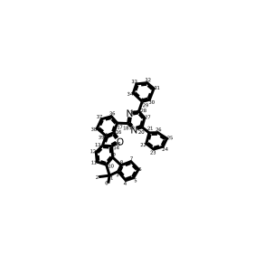 CC1(C)c2ccccc2-c2c1ccc1c2oc2c(-c3nc(-c4ccccc4)cc(-c4ccccc4)n3)cccc21